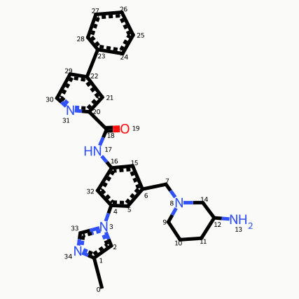 Cc1cn(-c2cc(CN3CCCC(N)C3)cc(NC(=O)c3cc(-c4ccccc4)ccn3)c2)cn1